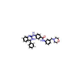 O=C(Nc1cccc(CN2CCOCC2)c1)c1ccc(NC2=Nc3ccccc3C(c3ccccc3)N2)cc1